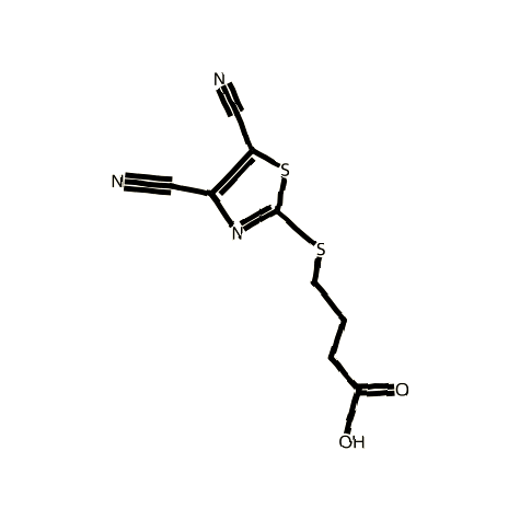 N#Cc1nc(SCCCC(=O)O)sc1C#N